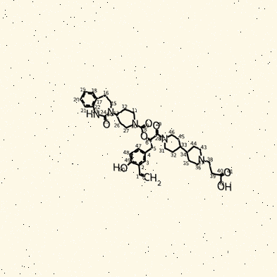 C=Cc1cc(C[C@@H](OC(=O)N2CCC(N3CCc4ccccc4NC3=O)CC2)C(=O)N2CCC(C3CCN(CCC(=O)O)CC3)CC2)ccc1O